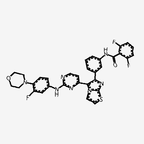 O=C(Nc1cccc(-c2nc3sccn3c2-c2ccnc(Nc3ccc(N4CCOCC4)c(F)c3)n2)c1)c1c(F)cccc1F